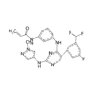 C=CC(=O)Nc1cccc(Nc2nc(Nc3cnn(C)c3)ncc2-c2cc(F)cc(C(F)F)c2)c1